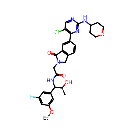 CCOc1cc(F)cc(C(NC(=O)CN2Cc3ccc(-c4nc(NC5CCOCC5)ncc4Cl)cc3C2=O)[C@H](C)O)c1